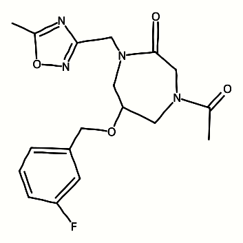 CC(=O)N1CC(=O)N(Cc2noc(C)n2)CC(OCc2cccc(F)c2)C1